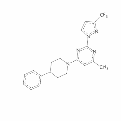 Cc1cc(N2CCC(c3ccccc3)CC2)nc(-n2ccc(C(F)(F)F)n2)n1